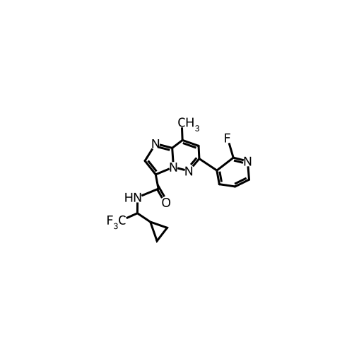 Cc1cc(-c2cccnc2F)nn2c(C(=O)NC(C3CC3)C(F)(F)F)cnc12